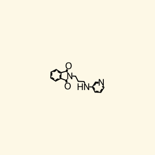 O=C1c2ccccc2C(=O)N1CCCNc1cccnc1